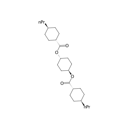 CCC[C@H]1CC[C@H](C(=O)O[C@H]2CC[C@H](OC(=O)[C@H]3CC[C@H](CCC)CC3)CC2)CC1